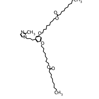 CCCCCCCCCC(=O)OCCCCCCCCOc1cc(CCCn2ccnc2C)cc(OCCCCCCCCOC(=O)CCCCCCCCC)c1